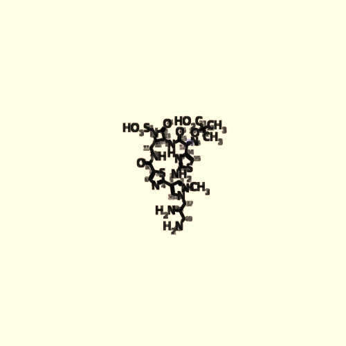 C[n+]1cc(-c2ncc(C(=O)NC[C@@H]3[C@H](NC(=O)/C(=N\OC(C)(C)C(=O)O)c4csc(N)n4)C(=O)N3S(=O)(=O)O)s2)cn1CC(N)CN